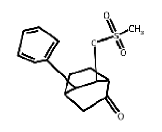 CS(=O)(=O)OC1C2CCC(CC2=O)C1c1ccccc1